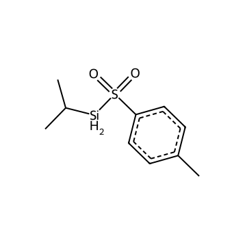 Cc1ccc(S(=O)(=O)[SiH2]C(C)C)cc1